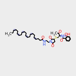 CC/C=C\C/C=C\C/C=C\C/C=C\C/C=C\C/C=C\CCC(=O)NCCN1C(=O)CC(SC[C@H](NC(=O)c2ccccc2O)C(C)=O)C1=O